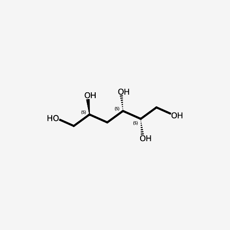 OC[C@@H](O)C[C@H](O)[C@@H](O)CO